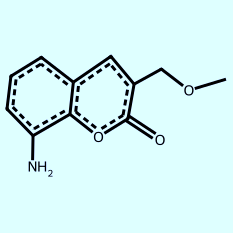 COCc1cc2cccc(N)c2oc1=O